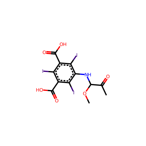 COC(Nc1c(I)c(C(=O)O)c(I)c(C(=O)O)c1I)C(C)=O